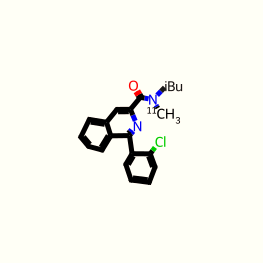 CCC(C)N([11CH3])C(=O)c1cc2ccccc2c(-c2ccccc2Cl)n1